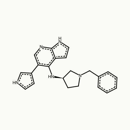 c1ccc(CN2CC[C@@H](Nc3c(-c4cc[nH]c4)cnc4[nH]ccc34)C2)cc1